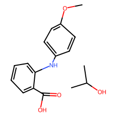 CC(C)O.COc1ccc(Nc2ccccc2C(=O)O)cc1